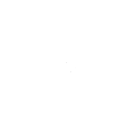 CCCCCC1(C)OCC2(CO1)CC(CC(C)C)CC2CC(C)C